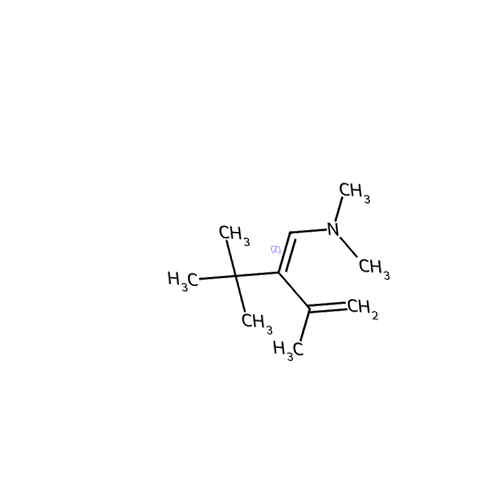 C=C(C)/C(=C\N(C)C)C(C)(C)C